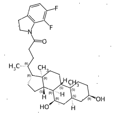 C[C@H](CCC(=O)N1CCc2ccc(F)c(F)c21)[C@H]1CC[C@H]2[C@@H]3[C@H](O)C[C@@H]4C[C@H](O)CC[C@]4(C)[C@H]3CC[C@]12C